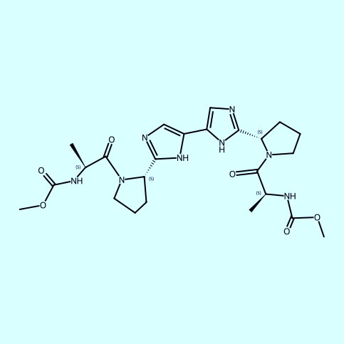 COC(=O)N[C@@H](C)C(=O)N1CCC[C@H]1c1ncc(-c2cnc([C@@H]3CCCN3C(=O)[C@H](C)NC(=O)OC)[nH]2)[nH]1